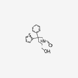 O=CNCC(CCCO)(c1ccccc1)c1cccs1